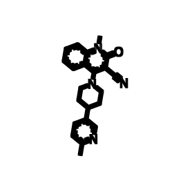 Cc1ccc(C2CCN(c3c(C#N)c(=O)n(C)c4ccccc34)CC2)cn1